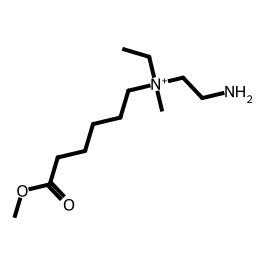 CC[N+](C)(CCN)CCCCCC(=O)OC